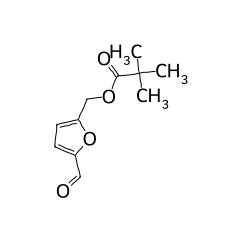 CC(C)(C)C(=O)OCc1ccc(C=O)o1